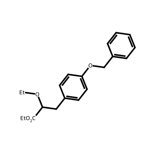 CCOC(=O)C(Cc1ccc(OCc2ccccc2)cc1)OCC